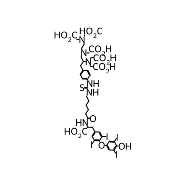 O=C(O)CN(CCN(CC(=O)O)CC(Cc1ccc(NC(=S)NCCCCCC(=O)NC(Cc2cc(I)c(Oc3cc(I)c(O)c(I)c3)c(I)c2)C(=O)O)cc1)N(CC(=O)O)CC(=O)O)CC(=O)O